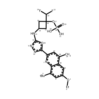 CCOc1cc(C(C)(C)C)c2nc(-c3nnc(NC4CC(OP(=O)(O)O)(C(F)F)C4)o3)cc(C)c2c1